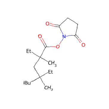 CCC(C)C(C)(CC)CC(C)(CC)C(=O)ON1C(=O)CCC1=O